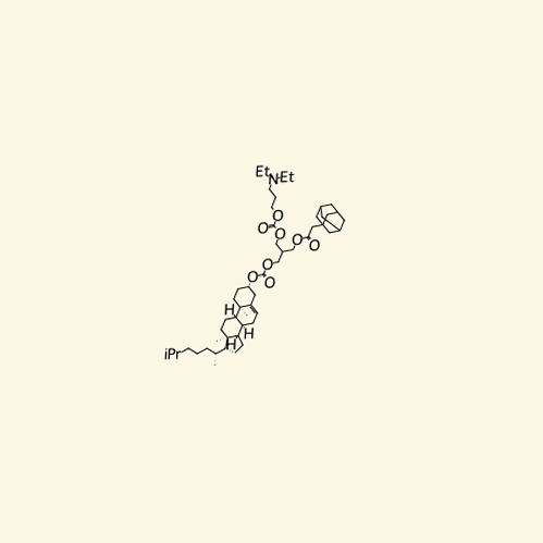 CCN(CC)CCCOC(=O)OCC(COC(=O)CC12CC3CC(CC(C3)C1)C2)COC(=O)O[C@H]1CC[C@@]2(C)C(=CC[C@H]3[C@@H]4CC[C@H]([C@H](C)CCCC(C)C)[C@@]4(C)CC[C@@H]32)C1